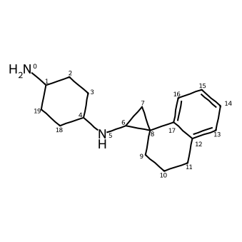 NC1CCC(NC2CC23CCCc2ccccc23)CC1